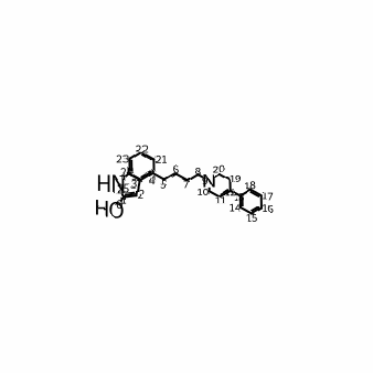 Oc1cc2c(CCCCN3CC=C(c4ccccc4)CC3)cccc2[nH]1